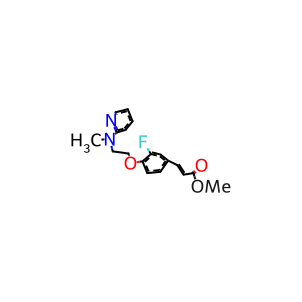 COC(=O)/C=C/c1ccc(OCCN(C)c2ccccn2)c(F)c1